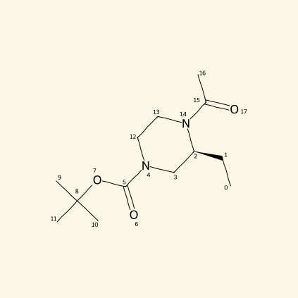 CC[C@H]1CN(C(=O)OC(C)(C)C)CCN1C(C)=O